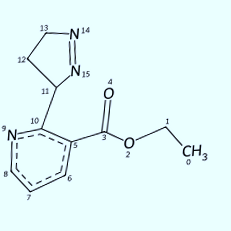 CCOC(=O)c1cccnc1C1CCN=N1